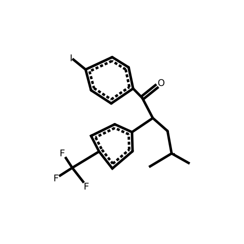 C[C](C)CC(C(=O)c1ccc(I)cc1)c1ccc(C(F)(F)F)cc1